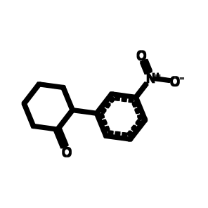 O=C1CCCCC1c1cccc([N+](=O)[O-])c1